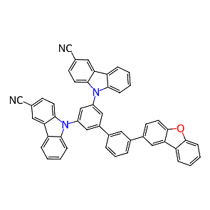 N#Cc1ccc2c(c1)c1ccccc1n2-c1cc(-c2cccc(-c3ccc4oc5ccccc5c4c3)c2)cc(-n2c3ccccc3c3cc(C#N)ccc32)c1